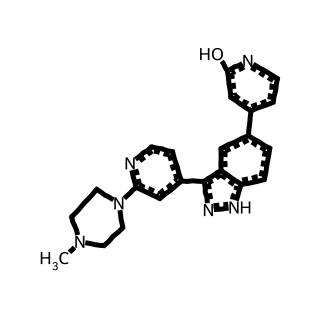 CN1CCN(c2cc(-c3n[nH]c4ccc(-c5ccnc(O)c5)cc34)ccn2)CC1